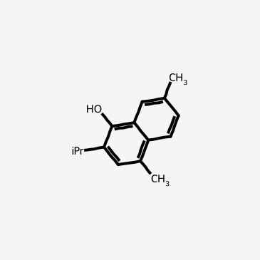 Cc1ccc2c(C)cc(C(C)C)c(O)c2c1